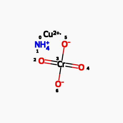 [Cu+2].[NH4+].[O]=[Cr](=[O])([O-])[O-]